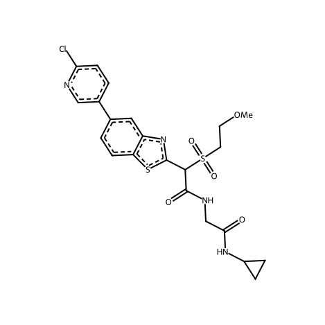 COCCS(=O)(=O)C(C(=O)NCC(=O)NC1CC1)c1nc2cc(-c3ccc(Cl)nc3)ccc2s1